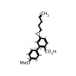 C=CCCCOc1ccc(C(=O)O)c(-c2ccc(OC)cc2)c1